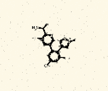 CC(N)c1ncc(-c2cc(Cl)cc(F)c2-c2cnn(C)c2)cc1F